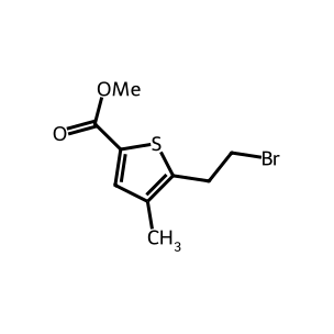 COC(=O)c1cc(C)c(CCBr)s1